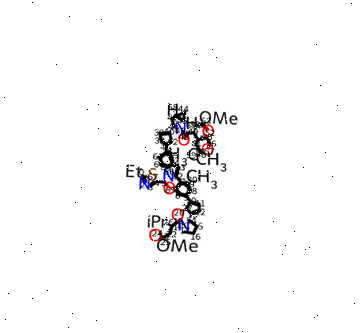 CCc1ncc(C2Oc3cc(C4=CC=C([C@@H]5CCCN5C(=O)[C@@H](CC(=O)OC)C(C)C)C4)cc(C)c3-c3cc4cc(C5=CC=C([C@@H]6C[C@H]7C[C@H]7N6C(=O)[C@@H](CC(=O)OC)C6CCOC(C)(C)C6)C5)ccc4n32)s1